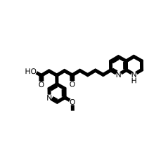 COc1cncc(C(CC(=O)O)CC(=O)CCCCc2ccc3c(n2)NCCC3)c1